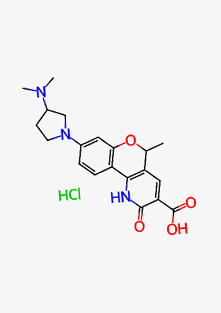 CC1Oc2cc(N3CCC(N(C)C)C3)ccc2-c2[nH]c(=O)c(C(=O)O)cc21.Cl